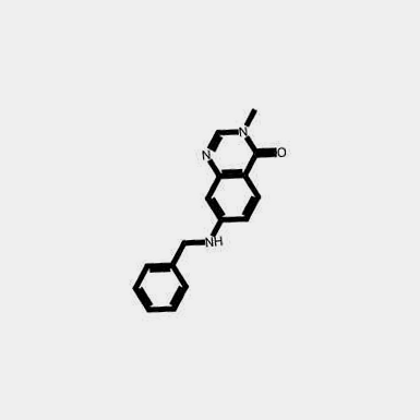 Cn1cnc2cc(NCc3ccccc3)ccc2c1=O